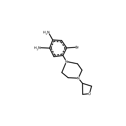 Nc1cc(Br)c(N2CCN(C3COC3)CC2)cc1N